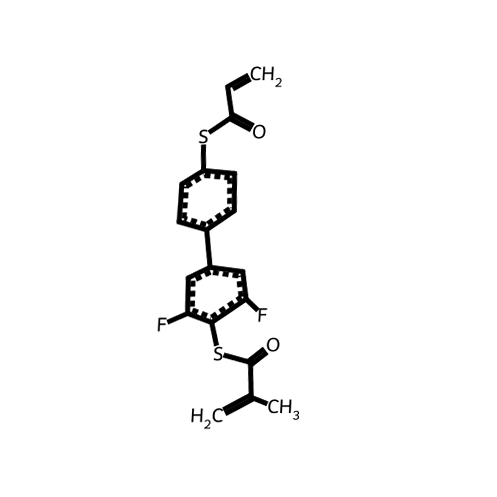 C=CC(=O)Sc1ccc(-c2cc(F)c(SC(=O)C(=C)C)c(F)c2)cc1